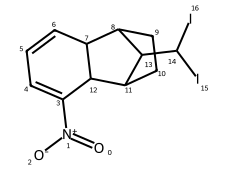 O=[N+]([O-])C1=CC=CC2C3CCC(C12)C3C(I)I